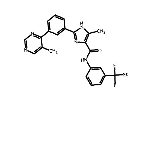 CCC(F)(F)c1cccc(NC(=O)c2nc(-c3cccc(-c4ncncc4C)c3)[nH]c2C)c1